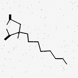 CCCCCCCCCCCCCCCCC1(O)CC(=O)OC1=S